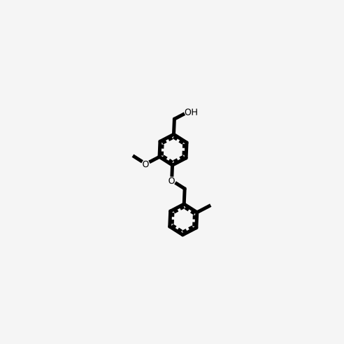 COc1cc(CO)ccc1OCc1ccccc1C